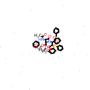 COC(=O)C(C(C(=O)OCc1ccccc1)N1C(=O)C(NC(C)=O)C1C(OC)OC)=P(c1ccccc1)(c1ccccc1)c1ccccc1.c1cc2cc(c1)O2